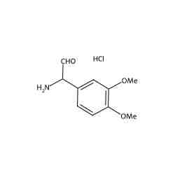 COc1ccc(C(N)C=O)cc1OC.Cl